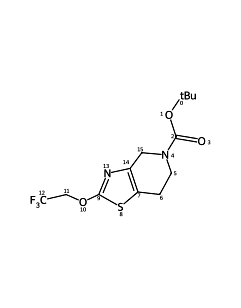 CC(C)(C)OC(=O)N1CCc2sc(OCC(F)(F)F)nc2C1